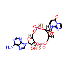 Nc1ncnc2c1ncn2[C@@H]1O[C@@H]2CO[P@@](=O)(S)O[C@@H]3[C@H](O)[C@@H](CO[P@@](=O)(S)O[C@H]2[C@H]1O)O[C@H]3n1ccc(=O)n2ccnc12